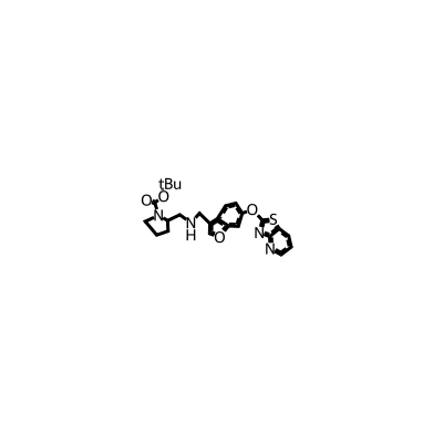 CC(C)(C)OC(=O)N1CCCC1CNCc1coc2cc(Oc3nc4ncccc4s3)ccc12